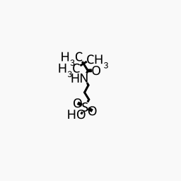 CC(C)(C)C(=O)NCCCS(=O)(=O)O